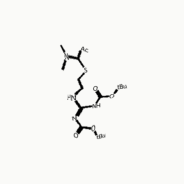 CC(=O)C(SCCNC(=NC(=O)OC(C)(C)C)NC(=O)OC(C)(C)C)N(C)C